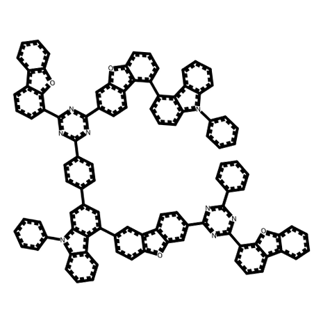 c1ccc(-c2nc(-c3ccc4c(c3)oc3ccc(-c5cc(-c6ccc(-c7nc(-c8ccc9c(c8)oc8cccc(-c%10cccc%11c%10c%10ccccc%10n%11-c%10ccccc%10)c89)nc(-c8cccc9c8oc8ccccc89)n7)cc6)cc6c5c5ccccc5n6-c5ccccc5)cc34)nc(-c3cccc4c3oc3ccccc34)n2)cc1